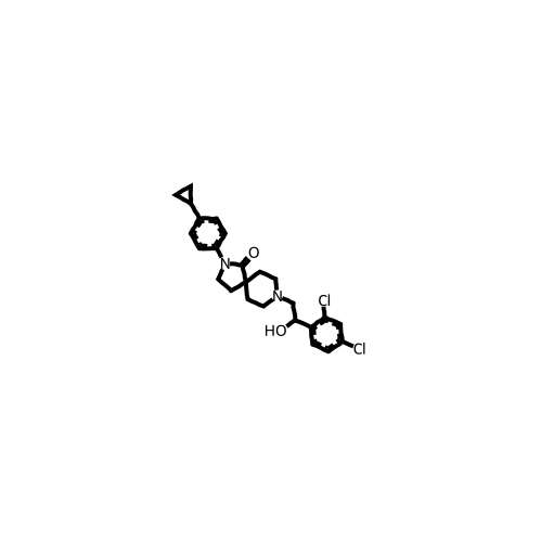 O=C1N(c2ccc(C3CC3)cc2)CCC12CCN(CC(O)c1ccc(Cl)cc1Cl)CC2